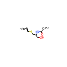 CCCCC=CSCC(CO)NC(=O)OC